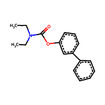 CCN(CC)C(=O)Oc1cccc(-c2ccccc2)c1